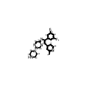 Cc1cc(C2=C(c3cc(F)cc(F)c3)N=C3C=NN(N4CCNCC4)C[N+]32)ccn1